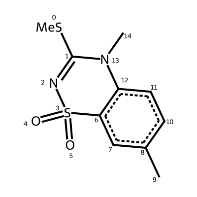 CSC1=NS(=O)(=O)c2cc(C)ccc2N1C